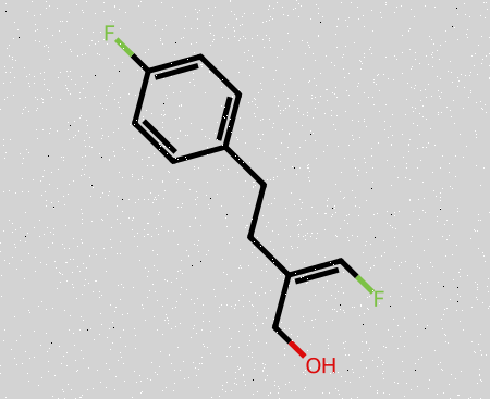 OCC(=CF)CCc1ccc(F)cc1